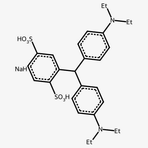 CCN(CC)c1ccc(C(c2ccc(N(CC)CC)cc2)c2cc(S(=O)(=O)O)ccc2S(=O)(=O)O)cc1.[NaH]